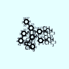 CC(C)(C)c1cccc(N2c3cc(C(C)(C)C)ccc3B3c4ccc(-c5ccccc5)cc4N(c4cccc(-c5ccccc5)c4)c4cc(N5c6ccccc6C6(C)CCC56C)cc2c43)c1